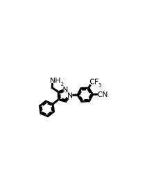 N#Cc1ccc(-n2cc(-c3ccccc3)c(CN)n2)cc1C(F)(F)F